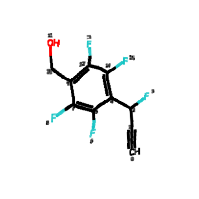 C#CC(F)c1c(F)c(F)c(CO)c(F)c1F